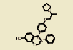 CC(COc1ccc([C@H]2c3ccc(O)cc3OC[C@H]2c2ccccc2)cc1)N1CCCC1